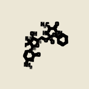 CC(NP(=O)(OC[C@H]1O[C@@H](n2ccc(N)nc2=O)C(F)(F)[C@@H]1O)Oc1ccccc1)C(=O)O